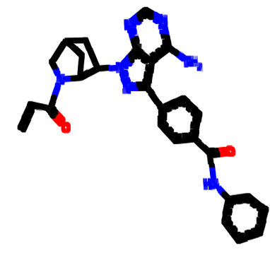 C=CC(=O)N1CC2CC1C(n1nc(-c3ccc(C(=O)Nc4ccccc4)cc3)c3c(N)ncnc31)C2